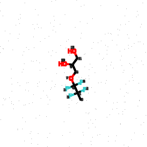 CC(F)(F)C(F)(F)OCC(O)CO